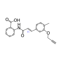 C#CCOc1cc(/C=C/C(=O)Nc2ccccc2C(=O)O)ccc1C